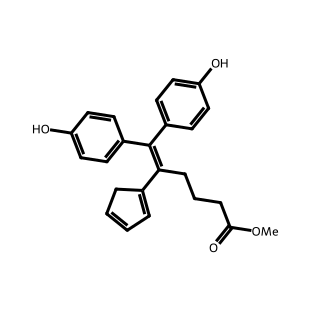 COC(=O)CCCC(C1=CC=CC1)=C(c1ccc(O)cc1)c1ccc(O)cc1